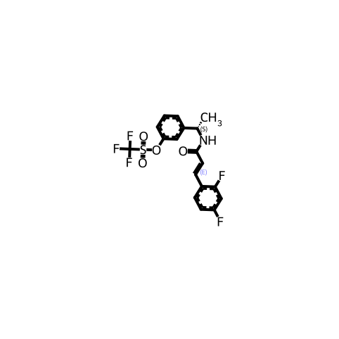 C[C@H](NC(=O)/C=C/c1ccc(F)cc1F)c1cccc(OS(=O)(=O)C(F)(F)F)c1